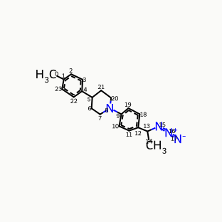 Cc1ccc(C2CCN(c3ccc(C(C)N=[N+]=[N-])cc3)CC2)cc1